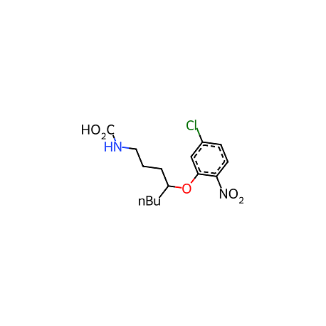 CCCCC(CCCNC(=O)O)Oc1cc(Cl)ccc1[N+](=O)[O-]